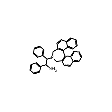 NC(c1ccccc1)C(c1ccccc1)P1Cc2ccc3ccccc3c2-c2c(ccc3ccccc23)C1